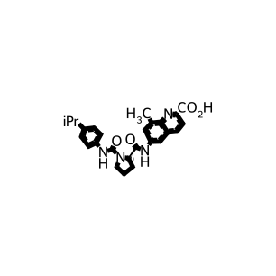 Cc1cc(NC(=O)[C@H]2CCCN2C(=O)Nc2ccc(C(C)C)cc2)cc2ccc(C(=O)O)nc12